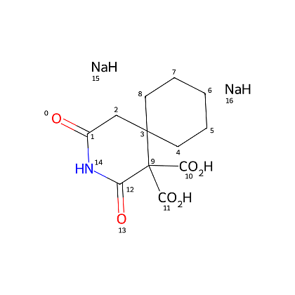 O=C1CC2(CCCCC2)C(C(=O)O)(C(=O)O)C(=O)N1.[NaH].[NaH]